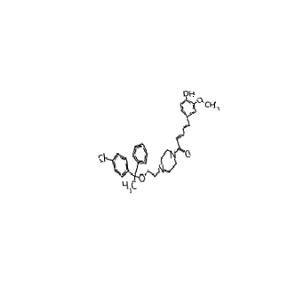 COc1cc(C=CC=CC(=O)N2CCN(CCOC(C)(c3ccccc3)c3ccc(Cl)cc3)CC2)ccc1O